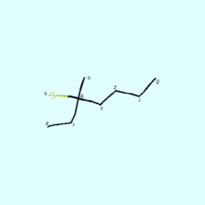 CCCCC(C)([S])CC